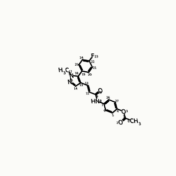 CC(=O)Oc1ccc(NC(=O)C=Cc2cnn(C)c2-c2ccc(F)cc2)cc1